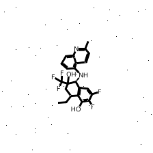 CCC1CC(O)(C(F)(F)F)[C@@H](Nc2cccc3nc(C)ccc23)c2cc(F)c(F)c(O)c21